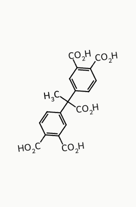 CC(C(=O)O)(c1ccc(C(=O)O)c(C(=O)O)c1)c1ccc(C(=O)O)c(C(=O)O)c1